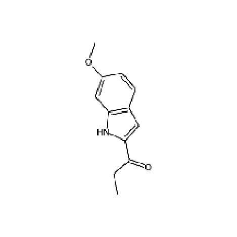 CCC(=O)c1cc2ccc(OC)cc2[nH]1